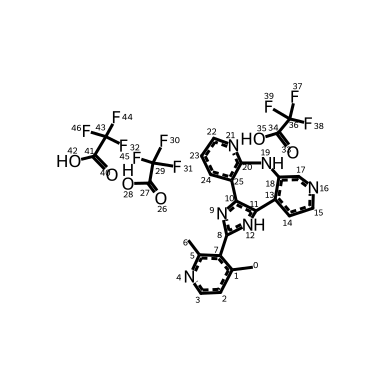 Cc1ccnc(C)c1-c1nc2c([nH]1)-c1ccncc1Nc1ncccc1-2.O=C(O)C(F)(F)F.O=C(O)C(F)(F)F.O=C(O)C(F)(F)F